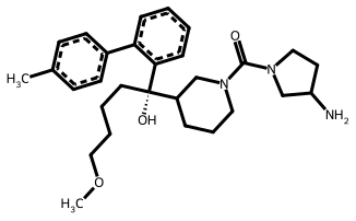 COCCCC[C@@](O)(c1ccccc1-c1ccc(C)cc1)C1CCCN(C(=O)N2CCC(N)C2)C1